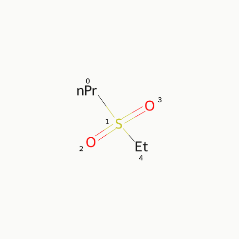 CCCS(=O)(=O)CC